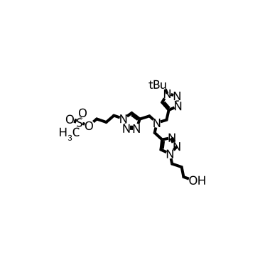 CC(C)(C)n1cc(CN(Cc2cn(CCCO)nn2)Cc2cn(CCCOS(C)(=O)=O)nn2)nn1